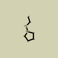 CCSN1CCCC1